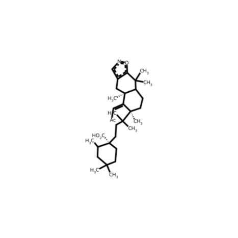 CC(=O)/C=C1/[C@@]2(C)Cc3cnoc3C(C)(C)C2CC[C@@]1(C)C(C)(C)CC[C@@]1(C(=O)O)CCC(C)(C)CC1C